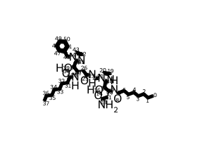 CCCCCCCC(=O)N[C@H](CC(N)=O)C(O)c1nccn1CNC(=O)C[C@@H](NC(=O)CCCCCCC)C(O)c1nccn1Cc1ccccc1